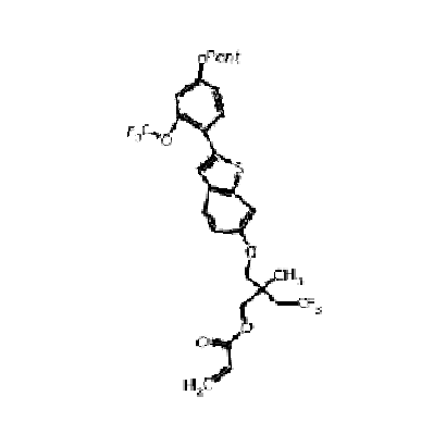 C=CC(=O)OCC(C)(COc1ccc2cc(-c3ccc(CCCCC)cc3OC(F)(F)F)sc2c1)CC(F)(F)F